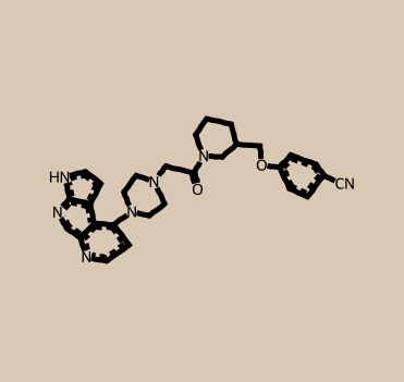 N#Cc1ccc(OCC2CCCN(C(=O)CN3CCN(c4ccnc5cnc6[nH]ccc6c45)CC3)C2)cc1